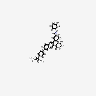 CN(C)c1ccc(-c2ccc(CN(C(=O)C3CCCCC3)c3cccc(/C=C/c4ccncc4)c3)cc2)cc1